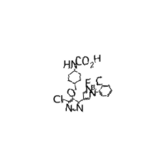 O=C(O)N[C@H]1CC[C@@H](COc2c(Cl)ncnc2-c2cnn(-c3ccccc3C(F)(F)F)c2)CC1